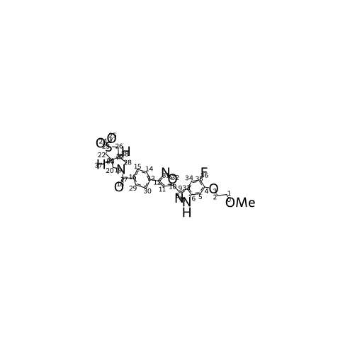 COCCOc1cc2[nH]nc(-c3cc(-c4ccc(C(=O)N5C[C@@H]6CS(=O)(=O)C[C@@H]6C5)cc4)no3)c2cc1F